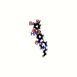 CCCCN1CCCN(C(=O)c2cccc(NS(=O)(=O)c3ccc(Br)c(Br)c3)c2)CC1